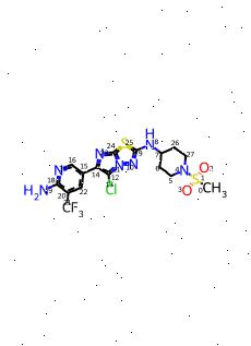 CS(=O)(=O)N1CCC(Nc2nn3c(Cl)c(-c4cnc(N)c(C(F)(F)F)c4)nc3s2)CC1